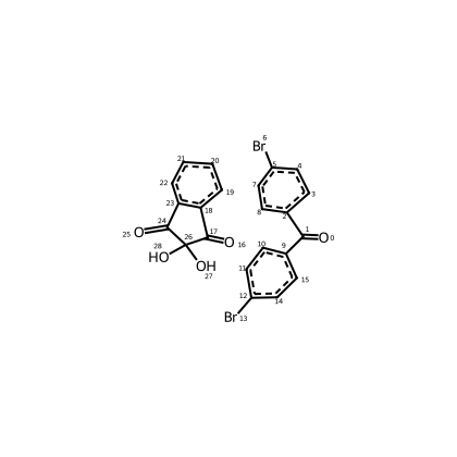 O=C(c1ccc(Br)cc1)c1ccc(Br)cc1.O=C1c2ccccc2C(=O)C1(O)O